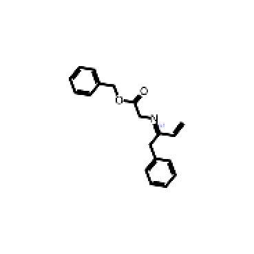 C=C/C(Cc1ccccc1)=N/CC(=O)OCc1ccccc1